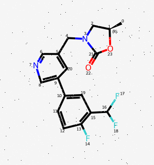 C[C@@H]1CN(Cc2cncc(-c3ccc(F)c(C(F)F)c3)c2)C(=O)O1